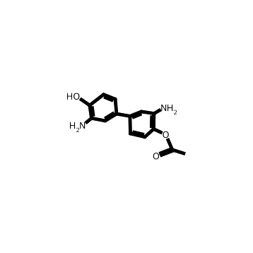 CC(=O)Oc1ccc(-c2ccc(O)c(N)c2)cc1N